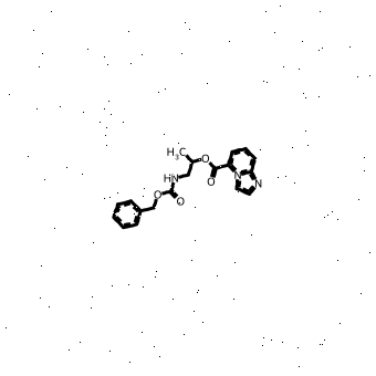 CC(CNC(=O)OCc1ccccc1)OC(=O)c1cccc2nccn12